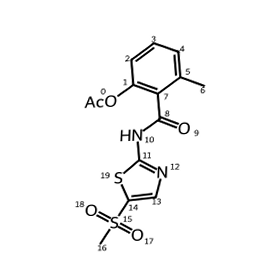 CC(=O)Oc1cccc(C)c1C(=O)Nc1ncc(S(C)(=O)=O)s1